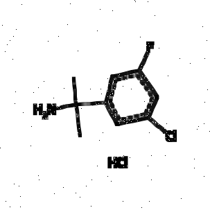 CC(C)(N)c1cc(F)cc(Cl)c1.Cl